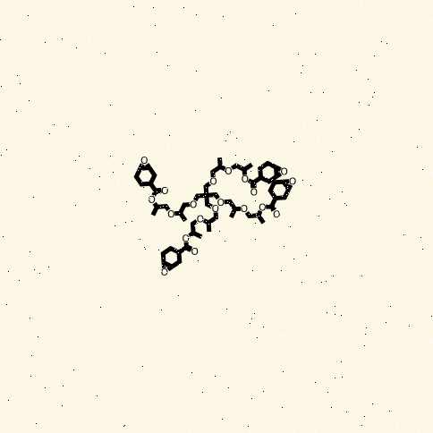 CC(COCC(COCC(C)OCC(C)OC(=O)C1CCC2OC2C1)(COCC(C)OCC(C)OC(=O)C1CCC2OC2C1)COCC(C)OCC(C)OC(=O)C1CCC2OC2C1)OCC(C)OC(=O)C1CCC2OC2C1